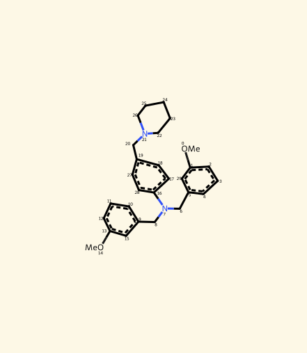 COc1cccc(CN(Cc2cccc(OC)c2)c2ccc(CN3CCCCC3)cc2)c1